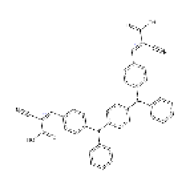 N#C/C(=C/c1ccc(N(c2ccccc2)c2ccc(N(c3ccccc3)c3ccc(/C=C(\C#N)C(=O)O)cc3)cc2)cc1)C(=O)O